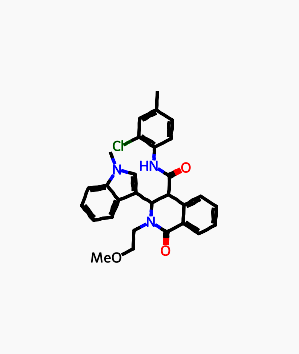 COCCN1C(=O)c2ccccc2C(C(=O)Nc2ccc(C)cc2Cl)C1c1cn(C)c2ccccc12